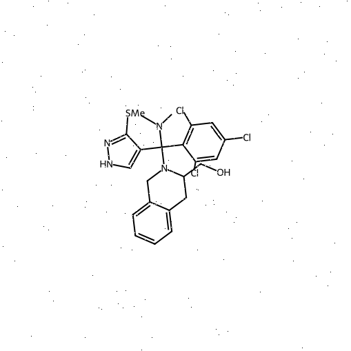 CSc1n[nH]cc1C(c1c(Cl)cc(Cl)cc1Cl)(N(C)C)N1Cc2ccccc2CC1CO